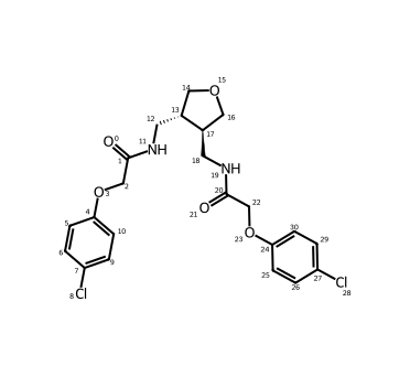 O=C(COc1ccc(Cl)cc1)NC[C@@H]1COC[C@H]1CNC(=O)COc1ccc(Cl)cc1